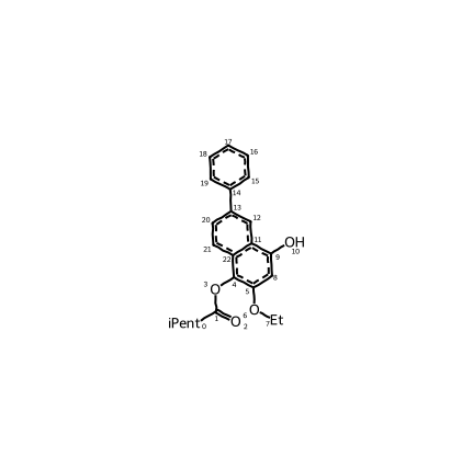 CCCC(C)C(=O)Oc1c(OCC)cc(O)c2cc(-c3ccccc3)ccc12